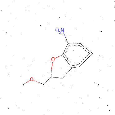 COCC1Cc2cccc(N)c2O1